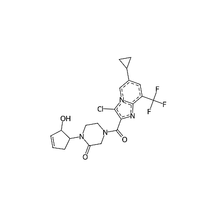 O=C(c1nc2c(C(F)(F)F)cc(C3CC3)cn2c1Cl)N1CCN(C2CC=CC2O)C(=O)C1